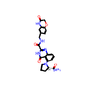 NC(=O)[C@@H]1CCCN1c1cccc2nc(C(=O)NCc3ccc4c(c3)NC(=O)CO4)[nH]c(=O)c12